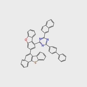 c1ccc(-c2ccc(-c3nc(-c4ccc5ccccc5c4)nc(-c4cc(-c5cc6ccccc6c6sc7ccccc7c56)cc5oc6ccccc6c45)n3)cc2)cc1